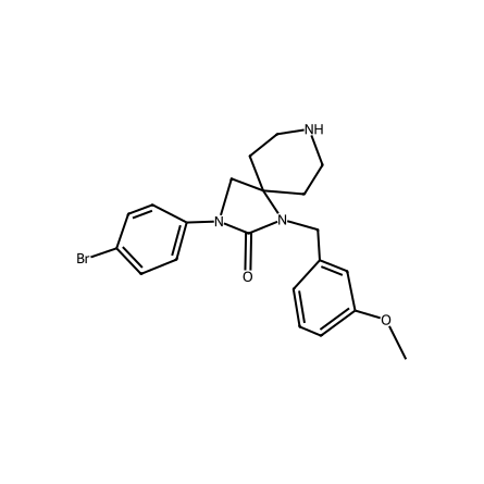 COc1cccc(CN2C(=O)N(c3ccc(Br)cc3)CC23CCNCC3)c1